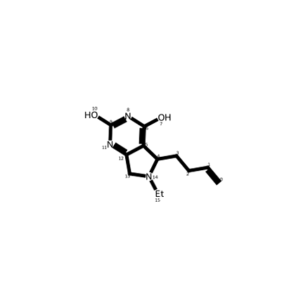 C=CCCC1c2c(O)nc(O)nc2CN1CC